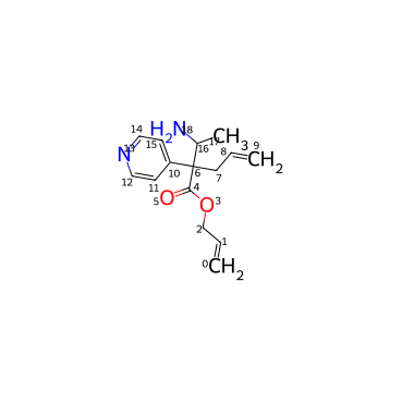 C=CCOC(=O)C(CC=C)(c1ccncc1)C(C)N